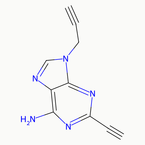 C#CCn1cnc2c(N)nc(C#C)nc21